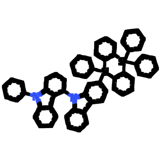 c1ccc(-n2c3ccccc3c3c(-n4c5ccccc5c5ccc([Si]6(c7ccccc7)c7ccccc7[Si](c7ccccc7)(c7ccccc7)c7ccccc76)cc54)cccc32)cc1